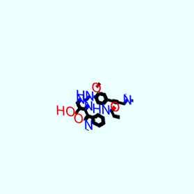 C=CC(=O)Nc1cc(Nc2ncc(C(=O)O)c(-c3cn(C)c4ccccc34)n2)c(OC)cc1C#CCN(C)C